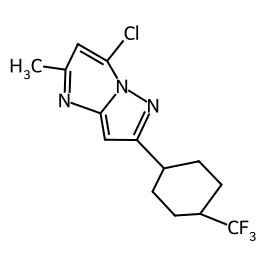 Cc1cc(Cl)n2nc(C3CCC(C(F)(F)F)CC3)cc2n1